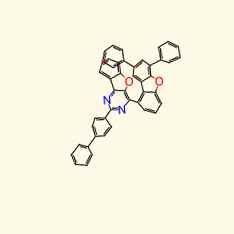 c1ccc(-c2ccc(-c3nc(-c4cccc5oc6c(-c7ccccc7)cc(-c7ccccc7)cc6c45)c4oc5ccccc5c4n3)cc2)cc1